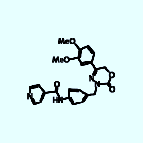 COc1ccc(C2=NN(Cc3ccc(NC(=O)c4ccncc4)cc3)C(=O)OC2)cc1OC